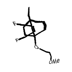 COCOC12CCC(C)(CC1)C(F)=C2F